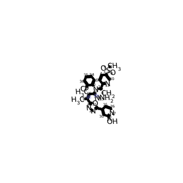 C=C(c1ccc(S(C)(=O)=O)cn1)N(C(=N\N)/C(C)=C(/C)c1nnc(-c2ccnc(O)c2)o1)c1ccccc1Cl